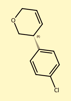 Clc1ccc([C@H]2C=CCOC2)cc1